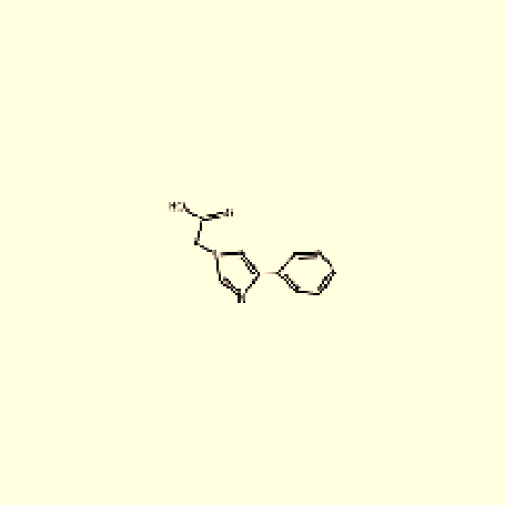 O=C(O)Cn1cnc(-c2ccccc2)c1